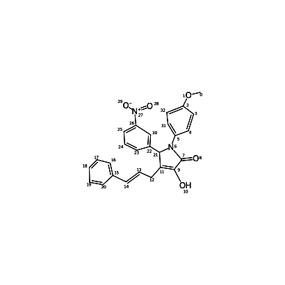 COc1ccc(N2C(=O)C(O)=C(CC=Cc3ccccc3)C2c2cccc([N+](=O)[O-])c2)cc1